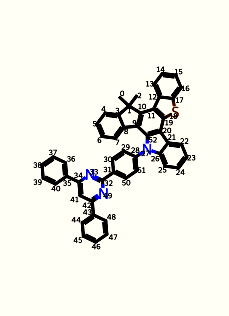 CC1(C)c2ccccc2-c2c1c1c3ccccc3sc1c1c3ccccc3n(-c3ccc(-c4nc(-c5ccccc5)cc(-c5ccccc5)n4)cc3)c21